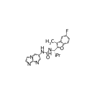 Cc1c([C@@H](NC(=O)Nc2cnc3nccn3c2)C(C)C)oc2ccc(F)cc12